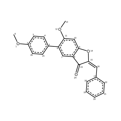 COc1ccc(-c2cc3c(cc2OC)OC(=Cc2ccccc2)C3=O)cc1